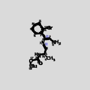 C[C@@H](/C=N/C(=C\N)c1ccccc1Br)NC(=O)OC(C)(C)C